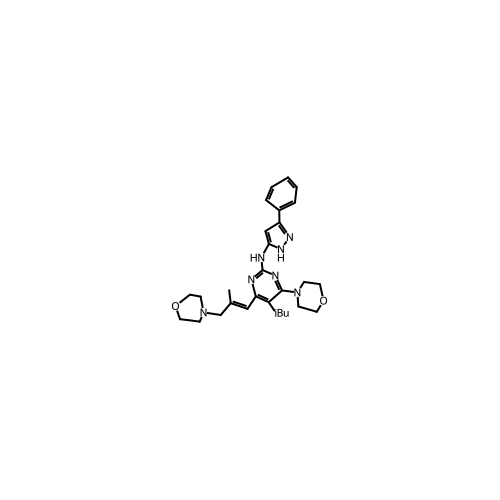 CCC(C)c1c(/C=C(\C)CN2CCOCC2)nc(Nc2cc(-c3ccccc3)n[nH]2)nc1N1CCOCC1